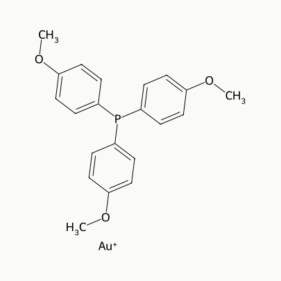 COc1ccc(P(c2ccc(OC)cc2)c2ccc(OC)cc2)cc1.[Au+]